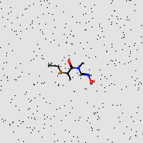 CC(C)CSC(C)C(=O)N(C)C=NO